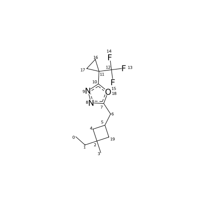 CCC1(C)CC(Cc2nnc(C3(C(F)(F)F)CC3)o2)C1